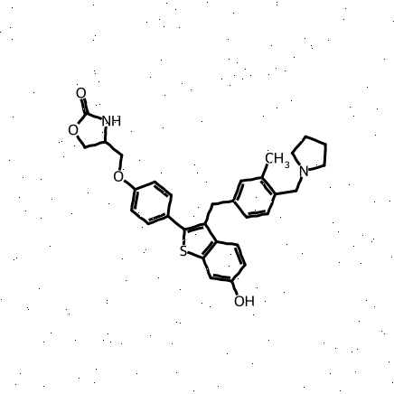 Cc1cc(Cc2c(-c3ccc(OCC4COC(=O)N4)cc3)sc3cc(O)ccc23)ccc1CN1CCCC1